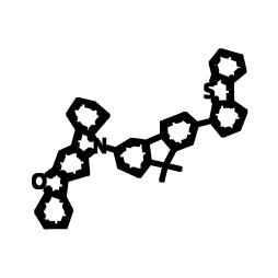 CC1(C)c2ccc(-n3c4ccccc4c4cc5oc6ccccc6c5cc43)cc2-c2ccc(-c3cccc4c3sc3ccccc34)cc21